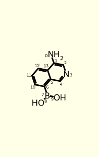 Nc1cncc2c(B(O)O)cccc12